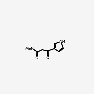 CNC(=O)CC(=O)c1cc[nH]c1